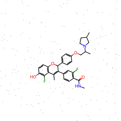 CNC(=O)c1ccc(C2=C(C)c3c(ccc(O)c3F)OC2c2ccc(OCC(C)N3CCC(C)C3)cc2)cc1F